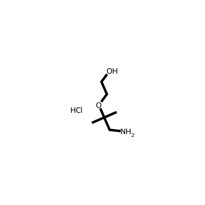 CC(C)(CN)OCCO.Cl